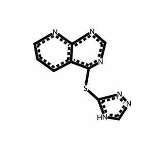 c1cnc2ncnc(Sc3nnc[nH]3)c2c1